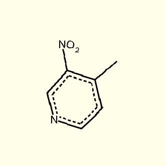 Cc1ccncc1[N+](=O)[O-]